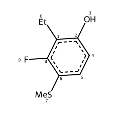 CCc1c(O)ccc(SC)c1F